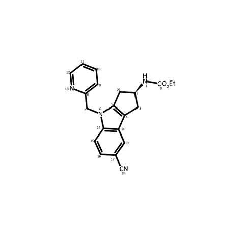 CCOC(=O)N[C@H]1Cc2c(n(Cc3ccccn3)c3ccc(C#N)cc23)C1